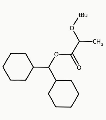 CC(OC(C)(C)C)C(=O)OC(C1CCCCC1)C1CCCCC1